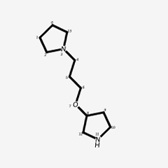 C1CCN(CCCOC2CCNC2)C1